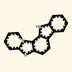 c1ccc2c(c1)[nH]c1c2ccc2nc3ccccn3c21